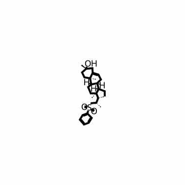 C[C@H](CS(=O)(=O)c1ccccc1)[C@H]1CC[C@H]2[C@@H]3CC=C4C[C@@](C)(O)CC[C@]4(C)[C@H]3CC[C@]12C